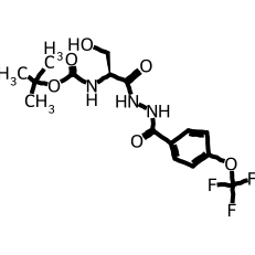 CC(C)(C)OC(=O)N[C@@H](CO)C(=O)NNC(=O)c1ccc(OC(F)(F)F)cc1